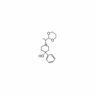 CC(C1OCCCO1)N1CCC(O)(c2ccccc2)CC1